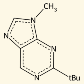 Cn1cnc2cnc(C(C)(C)C)nc21